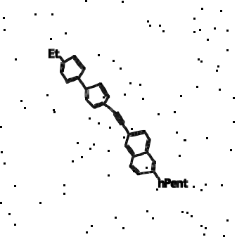 CCCCCc1ccc2cc(C#Cc3ccc(-c4ccc(CC)cc4)cc3)ccc2c1